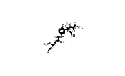 C=N/C(=C\N=C(/C)C(=O)Nc1ccc(F)c([C@@]2(C)N=C(N)O[C@H]([C@H](C)F)[C@@H]2F)c1)OCF